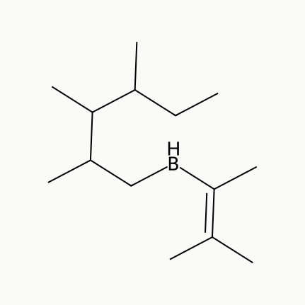 CCC(C)C(C)C(C)CBC(C)=C(C)C